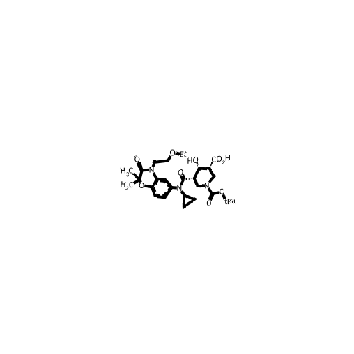 CCOCCN1C(=O)C(C)(C)Oc2ccc(N(C(=O)[C@H]3CN(C(=O)OC(C)(C)C)C[C@@H](C(=O)O)[C@H]3O)C3CC3)cc21